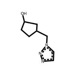 OC1CCC(Cn2ccnn2)C1